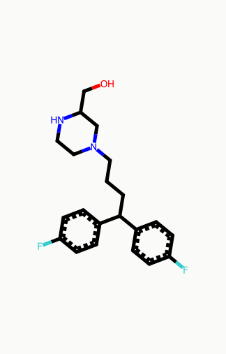 OCC1CN(CCCC(c2ccc(F)cc2)c2ccc(F)cc2)CCN1